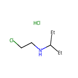 CCC(CC)NCCCl.Cl